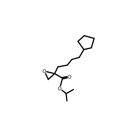 CC(C)OC(=O)C1(CCCCC2CCCC2)CO1